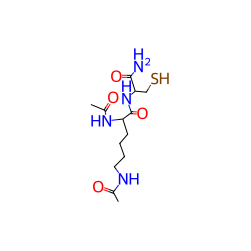 CC(=O)NCCCCC(NC(C)=O)C(=O)NC(CS)C(N)=O